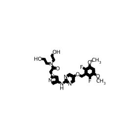 COc1cc(OC)c(F)c(COc2cnc(Nc3cnn(CC(=O)N(CCO)CCO)c3)nc2)c1F